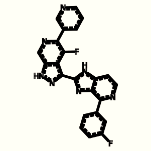 Fc1cccc(-c2nccc3[nH]c(-c4n[nH]c5cnc(-c6cccnc6)c(F)c45)nc23)c1